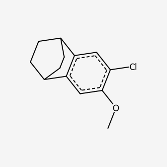 COc1cc2c(cc1Cl)C1CCC2CC1